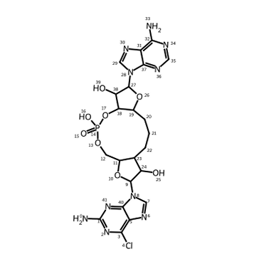 Nc1nc(Cl)c2ncn(C3OC4COP(=O)(O)OC5C(CCCC4C3O)OC(n3cnc4c(N)ncnc43)C5O)c2n1